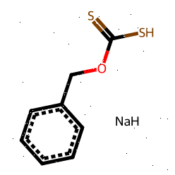 S=C(S)OCc1ccccc1.[NaH]